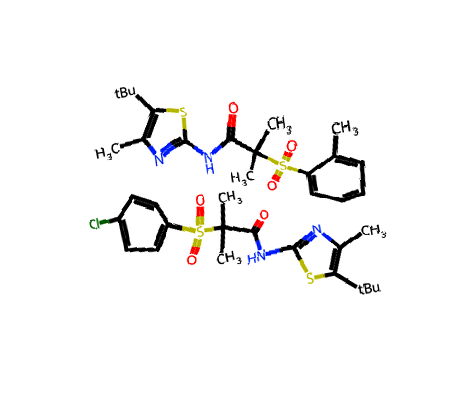 Cc1ccccc1S(=O)(=O)C(C)(C)C(=O)Nc1nc(C)c(C(C)(C)C)s1.Cc1nc(NC(=O)C(C)(C)S(=O)(=O)c2ccc(Cl)cc2)sc1C(C)(C)C